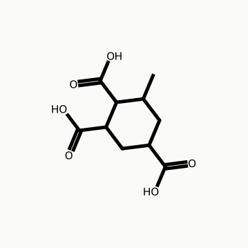 CC1CC(C(=O)O)CC(C(=O)O)C1C(=O)O